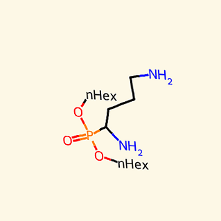 CCCCCCOP(=O)(OCCCCCC)C(N)CCCN